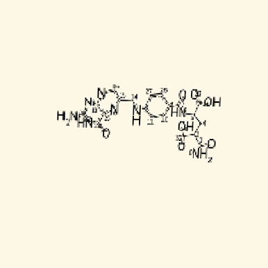 NC(=O)C(CC(NC(=O)c1ccc(NCc2cnc3nc(N)[nH]c(=O)c3n2)cc1)C(=O)O)C(=O)O